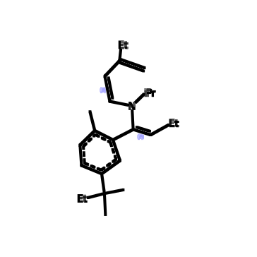 C=C(/C=C\N(/C(=C\CC)c1cc(C(C)(C)CC)ccc1C)C(C)C)CC